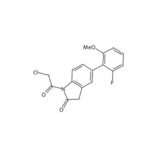 COc1cccc(F)c1-c1ccc2c(c1)CC(=O)N2C(=O)CCl